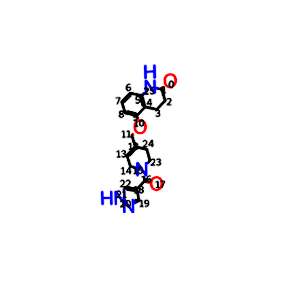 O=C1CCc2c(cccc2OCC2=CCN(C(=O)c3cn[nH]c3)CC2)N1